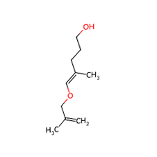 C=C(C)CO/C=C(\C)CCCO